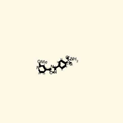 COc1cc(-c2nc(-c3ccc(S(N)(=O)=O)cc3)no2)ccn1